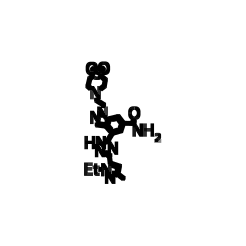 CCn1nc(C)cc1-c1n[nH]c(-c2cc(C(N)=O)cc3c2cnn3CCN2CCS(=O)(=O)CC2)n1